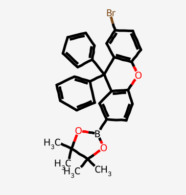 CC1(C)OB(c2ccc3c(c2)C(c2ccccc2)(c2ccccc2)c2cc(Br)ccc2O3)OC1(C)C